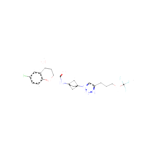 O=C(NC12CC(n3cc(CCCOC(F)(F)F)nn3)(C1)C2)[C@H]1C[C@@H](O)c2cc(Cl)ccc2O1